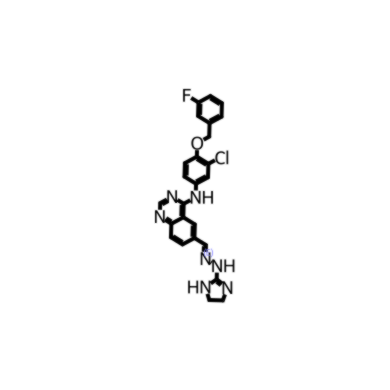 Fc1cccc(COc2ccc(Nc3ncnc4ccc(/C=N/NC5=NCCN5)cc34)cc2Cl)c1